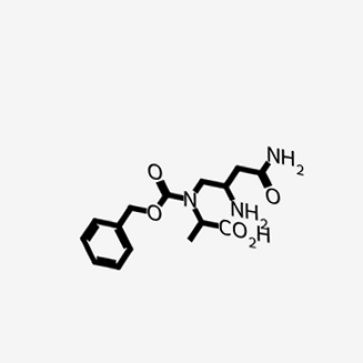 CC(C(=O)O)N(CC(N)CC(N)=O)C(=O)OCc1ccccc1